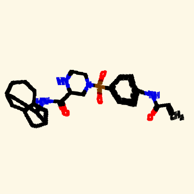 C=CC(=O)Nc1ccc(S(=O)(=O)N2CCNC(C(=O)NC3C4CCCC5CC3CC5C4)C2)cc1